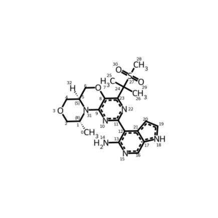 C[C@@H]1COC[C@H]2COc3c(nc(-c4c(N)ncc5[nH]ccc45)nc3C(C)(C)S(C)(=O)=O)N21